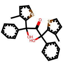 Cc1ccsc1C(O)(C(=O)C(O)(c1ccccc1)c1sccc1C)c1ccccc1